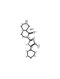 O=C1[C@@H]2CNCCN2CCN1c1nc(Cl)c(C2CCCCC2)s1